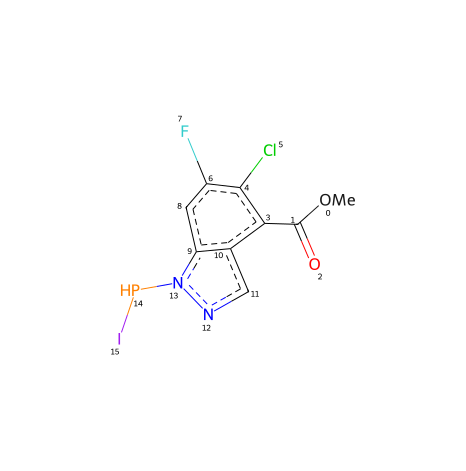 COC(=O)c1c(Cl)c(F)cc2c1cnn2PI